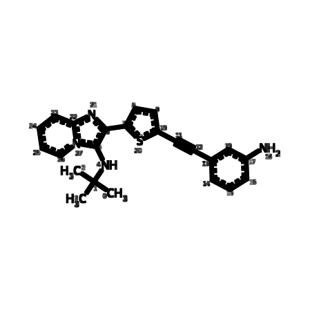 CC(C)(C)Nc1c(-c2ccc(C#Cc3cccc(N)c3)s2)nc2ccccn12